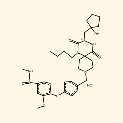 CCCCN1C(=O)[C@@H](CC2(O)CCCC2)NC(=O)C12CCN(Cc1ccc(Oc3ccc(C(=O)NC)cc3OC)cc1)CC2.Cl